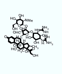 CN[C@@H]1[C@H](O[C@H]2[C@H](O[C@H]3[C@H](O)[C@@H](O)[C@H](NC(=N)N)[C@@H](O)[C@@H]3NC(=N)N)O[C@@H](C)[C@]2(O)C=O)O[C@@H](CO)[C@H](O)[C@H]1O.C[C@@H]1C[C@H]2[C@@H]3CCC4=CC(=O)C=C[C@]4(C)[C@@]3(F)[C@@H](O)C[C@]2(C)[C@@]1(O)C(=O)CO